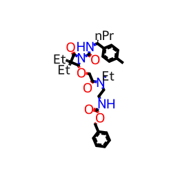 CCC[C@@H](NC(=O)N1C(=O)C(CC)(CC)C1OCC(=O)N(CC)CCNC(=O)OCc1ccccc1)c1ccc(C)cc1